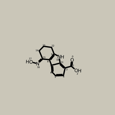 O=C(O)c1cccc2c3c([nH]c12)CCCC3=NO